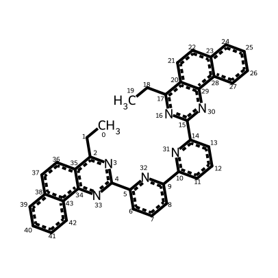 CCc1nc(-c2cccc(-c3cccc(-c4nc(CC)c5ccc6ccccc6c5n4)n3)n2)nc2c1ccc1ccccc12